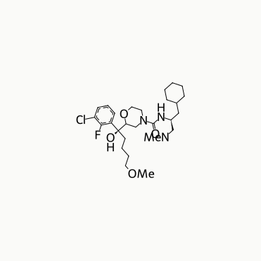 CNC[C@H](CC1CCCCC1)NC(=O)N1CCOC([C@](O)(CCCCOC)c2cccc(Cl)c2F)C1